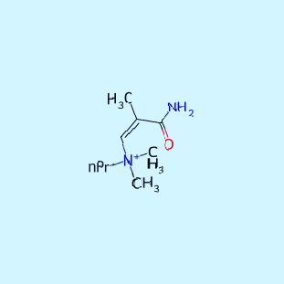 CCC[N+](C)(C)C=C(C)C(N)=O